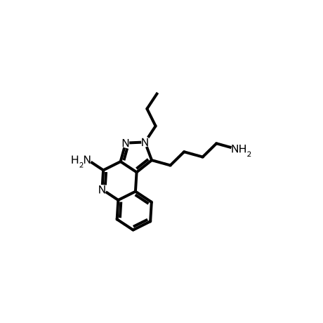 CCCn1nc2c(N)nc3ccccc3c2c1CCCCN